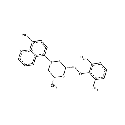 Cc1cccc(C)c1OC[C@H]1CN(c2ccc(C#N)c3ncccc23)C[C@@H](C)O1